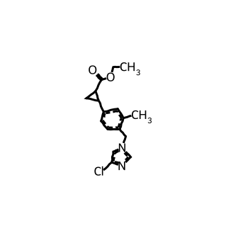 CCOC(=O)C1CC1c1ccc(Cn2cnc(Cl)c2)c(C)c1